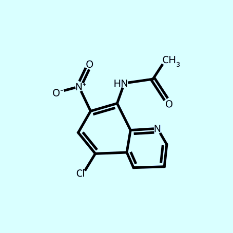 CC(=O)Nc1c([N+](=O)[O-])cc(Cl)c2cccnc12